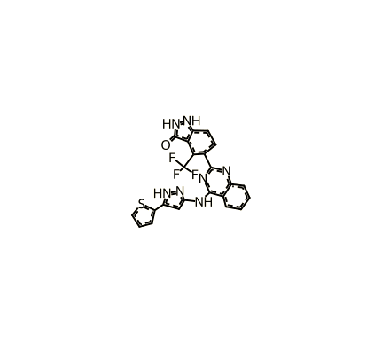 O=c1[nH][nH]c2ccc(-c3nc(Nc4cc(-c5cccs5)[nH]n4)c4ccccc4n3)c(C(F)(F)F)c12